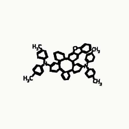 Cc1ccc(N(c2ccc(C)cc2)c2ccc3c4ccccc4c4ccc(N(c5ccc(C)cc5)c5ccc(C)cc5)cc4c4cc5c(cc4c4ccccc4c3c2)oc2ccccc25)cc1